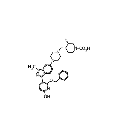 Cn1nc(-c2ccc(O)nc2OCc2ccccc2)c2ccc(N3CCN(C[C@H]4CCN(C(=O)O)C[C@@H]4F)CC3)cc21